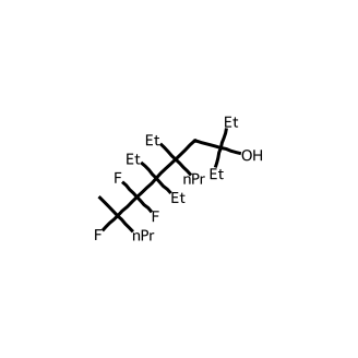 CCCC(C)(F)C(F)(F)C(CC)(CC)C(CC)(CCC)CC(O)(CC)CC